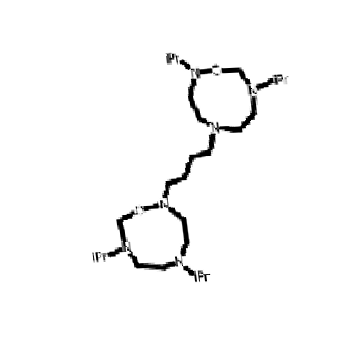 CC(C)N1CCN(CCCCN2CCN(C(C)C)CCN(C(C)C)CC2)CCN(C(C)C)CC1